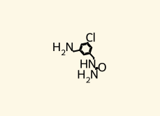 NCc1cc(Cl)cc(CNC(N)=O)c1